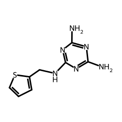 Nc1nc(N)nc(NCc2cccs2)n1